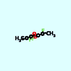 CCCc1ccc(C2CCC(OC(=O)c3ccc(-c4ccc(CC)cc4)c(F)c3F)CC2)cc1F